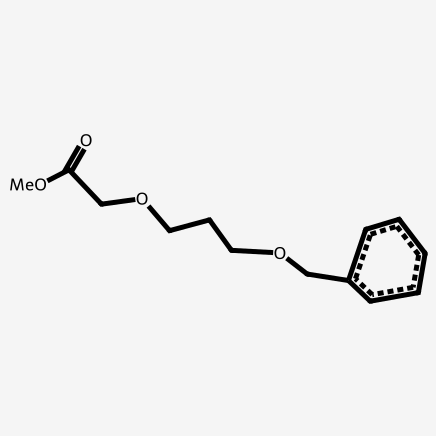 COC(=O)COCCCOCc1ccccc1